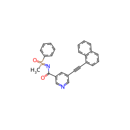 CS(=O)(=NC(=O)c1cncc(C#Cc2cccc3ccccc23)c1)c1ccccc1